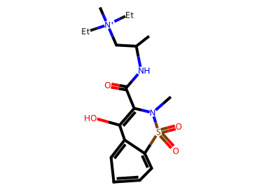 CC[N+](C)(CC)CC(C)NC(=O)C1=C(O)c2ccccc2S(=O)(=O)N1C